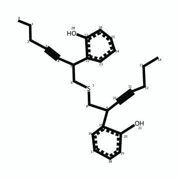 CCCC#CC(CSCC(C#CCCC)c1ccccc1O)c1ccccc1O